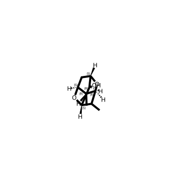 CC1[C@@H]2O[C@H]3C[C@H](O[C@@H]1[C@@H]3O)[C@H]2C